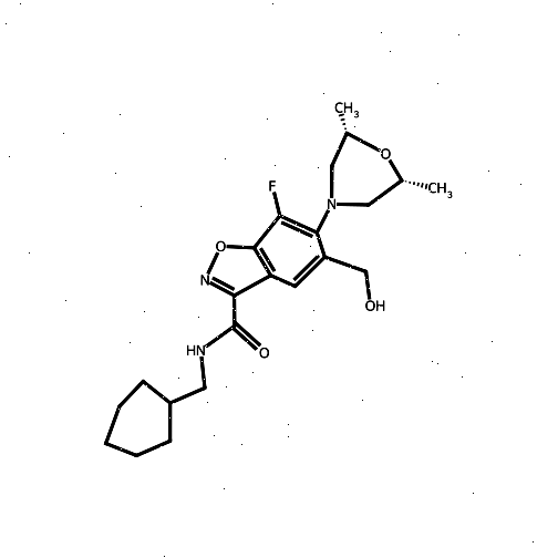 C[C@@H]1CN(c2c(CO)cc3c(C(=O)NCC4CCCCC4)noc3c2F)C[C@H](C)O1